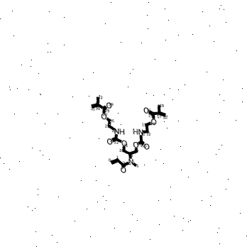 C=CC(=O)N(C)C(COC(=O)NCCOC(=O)C(=C)C)COC(=O)NCCOC(=O)C(=C)C